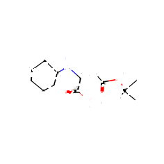 CC(C)(C)OC(=O)C[C@@H](NC1CCCCC1)C(=O)O